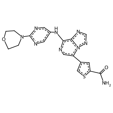 NC(=O)c1cc(-c2cnc(Nc3cnc(N4CCOCC4)nc3)c3ncnn23)cs1